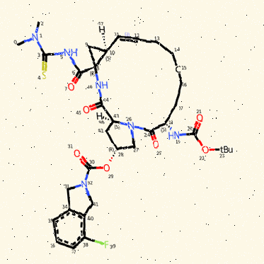 CN(C)C(=S)NC(=O)[C@@]12C[C@H]1/C=C\CCCCC[C@H](NC(=O)OC(C)(C)C)C(=O)N1C[C@H](OC(=O)N3Cc4cccc(F)c4C3)C[C@H]1C(=O)N2